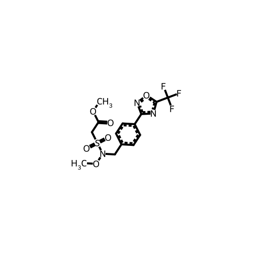 COC(=O)CS(=O)(=O)N(Cc1ccc(-c2noc(C(F)(F)F)n2)cc1)OC